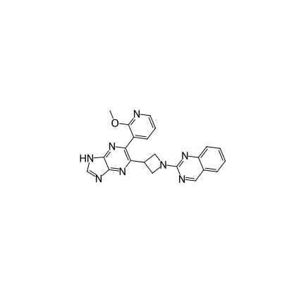 COc1ncccc1-c1nc2[nH]cnc2nc1C1CN(c2ncc3ccccc3n2)C1